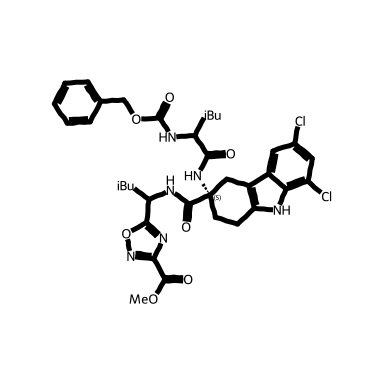 CCC(C)C(NC(=O)OCc1ccccc1)C(=O)N[C@@]1(C(=O)NC(c2nc(C(=O)OC)no2)C(C)CC)CCc2[nH]c3c(Cl)cc(Cl)cc3c2C1